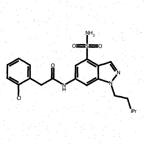 CC(C)CCn1ncc2c(S(N)(=O)=O)cc(NC(=O)Cc3ccccc3Cl)cc21